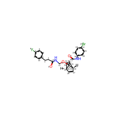 O=C(CCc1ccc(F)cc1)NCO[C@H]1[C@H](C(=O)Nc2ccc(Br)cc2)[C@@H]2C=C[C@@H]1C21CC1